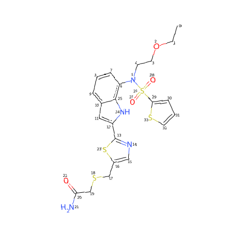 CCOCCN(c1cccc2cc(-c3ncc(CSCC(N)=O)s3)[nH]c12)S(=O)(=O)c1cccs1